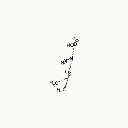 CCCCCCC(CCCCCC)CCOC(=O)CCCCCCCN(CCCCCCCC(O)OCC12C3C4C5C3C1C5C42)CCCn1ccnc1